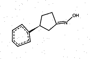 O/N=C1\CC[C@H](c2ccccc2)C1